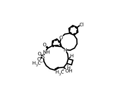 C[C@H]1CC/C=C/[C@](C)(O)[C@@H]2CC[C@H]2CN2CCCCc3cc(Cl)ccc3COc3ccc(cc32)C(=O)NS1(=O)=O